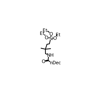 CCCCCC[CH]CCCC(=O)NCC(C)(C)CC[Si](OCC)(OCC)OCC